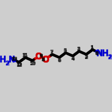 NCCCCCCCOOCCCN